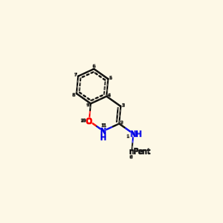 CCCCCNC1=Cc2ccccc2ON1